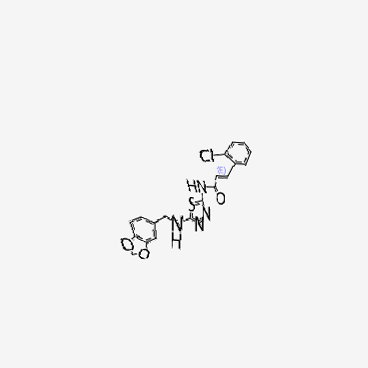 O=C(/C=C/c1ccccc1Cl)Nc1nnc(NCc2ccc3c(c2)OCO3)s1